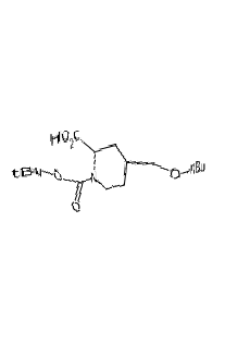 CCCCOCC1CCN(C(=O)OC(C)(C)C)C(C(=O)O)C1